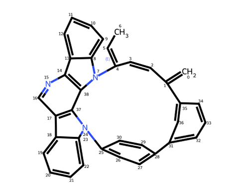 C=c1cc/c(=C\C)n2c3ccccc3c3ncc4c5ccccc5n(c5ccc(cc5)c5cccc1c5)c4c32